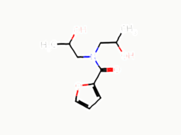 CC(O)CN(CC(C)O)C(=O)c1ccco1